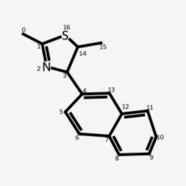 CC1=NC(c2ccc3ccccc3c2)C(C)S1